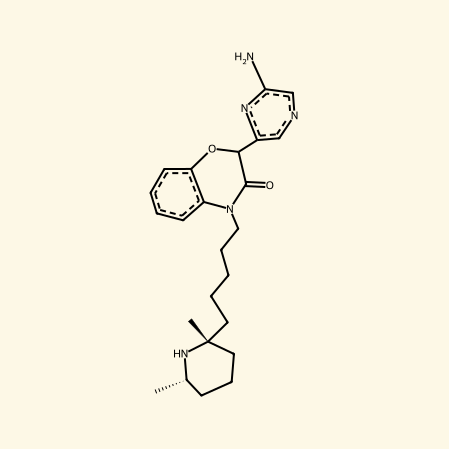 C[C@H]1CCC[C@@](C)(CCCCCN2C(=O)C(c3cncc(N)n3)Oc3ccccc32)N1